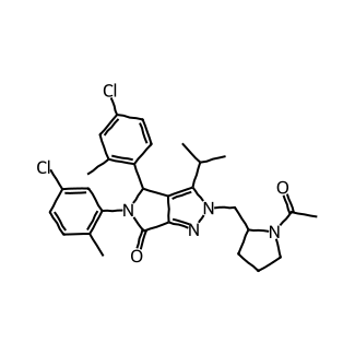 CC(=O)N1CCCC1Cn1nc2c(c1C(C)C)C(c1ccc(Cl)cc1C)N(c1cc(Cl)ccc1C)C2=O